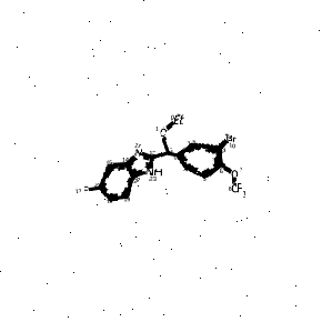 CCOC(c1ccc(OC(F)(F)F)c(Br)c1)c1nc2cc(F)ccc2[nH]1